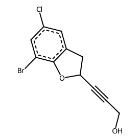 OCC#CC1Cc2cc(Cl)cc(Br)c2O1